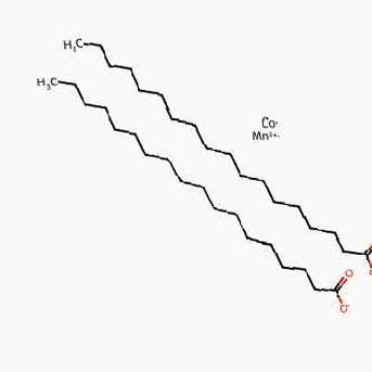 CCCCCCCCCCCCCCCCCC(=O)[O-].CCCCCCCCCCCCCCCCCC(=O)[O-].[Co].[Mn+2]